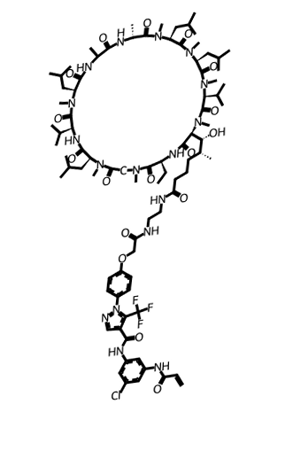 C=CC(=O)Nc1cc(Cl)cc(NC(=O)c2cnn(-c3ccc(OCC(=O)NCCNC(=O)CCC[C@@H](C)[C@@H](O)[C@H]4C(=O)N[C@@H](CC)C(=O)N(C)CC(=O)N(C)[C@@H](CC(C)C)C(=O)N[C@@H](C(C)C)C(=O)N(C)[C@@H](CC(C)C)C(=O)NC(C)C(=O)N[C@H](C)C(=O)N(C)[C@@H](CC(C)C)C(=O)N(C)[C@@H](CC(C)C)C(=O)N(C)[C@@H](C(C)C)C(=O)N4C)cc3)c2C(F)(F)F)c1